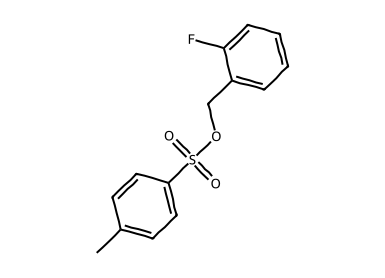 Cc1ccc(S(=O)(=O)OCc2ccccc2F)cc1